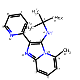 CCCCCCC(C)(C)Nc1c(-c2ccccn2)nc2cccc(C)n12